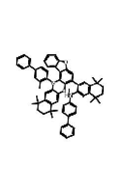 Cc1cc(-c2ccccc2)ccc1N1c2cc3c(cc2Bc2c(-c4cc5c(cc4Nc4ccc(-c6ccccc6)cc4)C(C)(C)CCC5(C)C)cc4oc5ccccc5c4c21)C(C)(C)CCC3(C)C